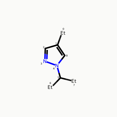 CCc1cnn(C(CC)CC)c1